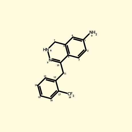 Nc1ccc2c(c1)CNN=C2Cc1ccccc1C(F)(F)F